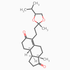 CC(C)C1COC(C)(CCC2=C3CC[C@]4(C)C(=O)CC[C@H]4[C@@H]3CCC2=O)O1